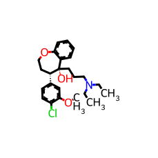 CCN(CC)CCC[C@]1(O)c2ccccc2OCC[C@H]1c1ccc(Cl)c(OC)c1